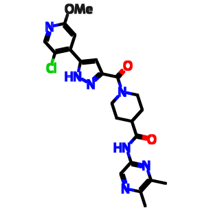 COc1cc(-c2cc(C(=O)N3CCC(C(=O)Nc4cnc(C)c(C)n4)CC3)n[nH]2)c(Cl)cn1